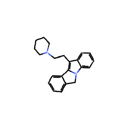 c1ccc2c(c1)Cn1c-2c(CCN2CCCCC2)c2ccccc21